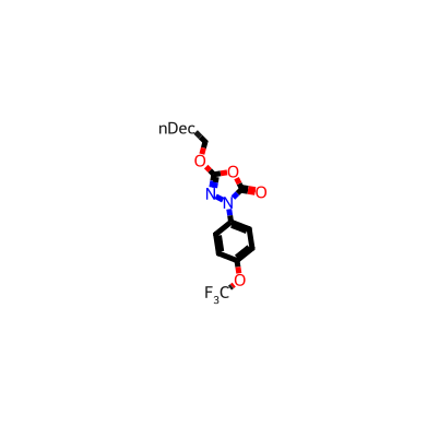 CCCCCCCCCCCOc1nn(-c2ccc(OC(F)(F)F)cc2)c(=O)o1